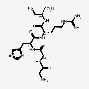 C[C@H](NC(=O)CN)C(=O)N[C@@H](Cc1c[nH]cn1)C(=O)N[C@@H](CCCNC(=N)N)C(=O)N[C@@H](CS)C(=O)O